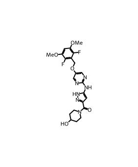 COc1cc(OC)c(F)c(COc2cnc(Nc3cc(C(=O)N4CCC(O)CC4)n[nH]3)nc2)c1F